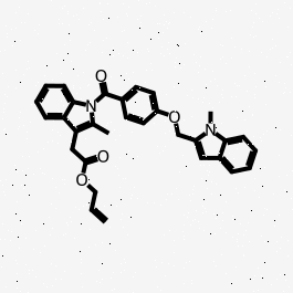 C=CCOC(=O)Cc1c(C)n(C(=O)c2ccc(OCc3cc4ccccc4n3C)cc2)c2ccccc12